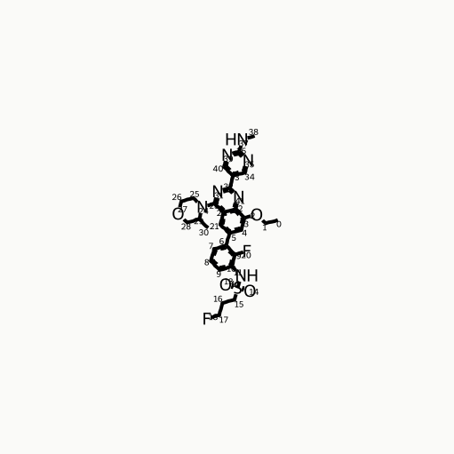 CCOc1cc(-c2cccc(NS(=O)(=O)CCCF)c2F)cc2c(N3CCOCC3C)nc(-c3cnc(NC)nc3)nc12